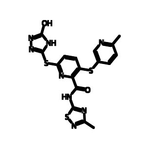 Cc1ccc(Sc2ccc(Sc3nnc(O)[nH]3)nc2C(=O)Nc2nc(C)ns2)cn1